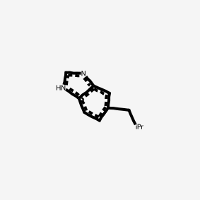 CC(C)Cc1ccc2[nH]cnc2c1